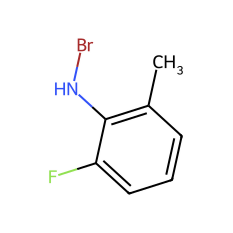 Cc1cccc(F)c1NBr